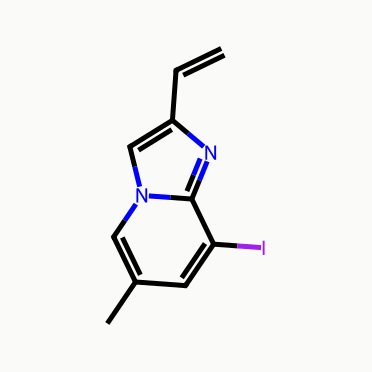 C=Cc1cn2cc(C)cc(I)c2n1